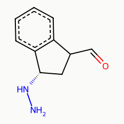 NN[C@H]1CC(C=O)c2ccccc21